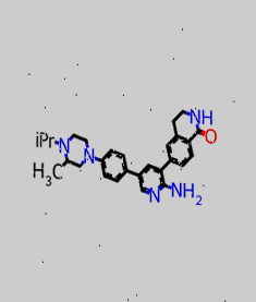 CC(C)N1CCN(c2ccc(-c3cnc(N)c(-c4ccc5c(c4)CCNC5=O)c3)cc2)CC1C